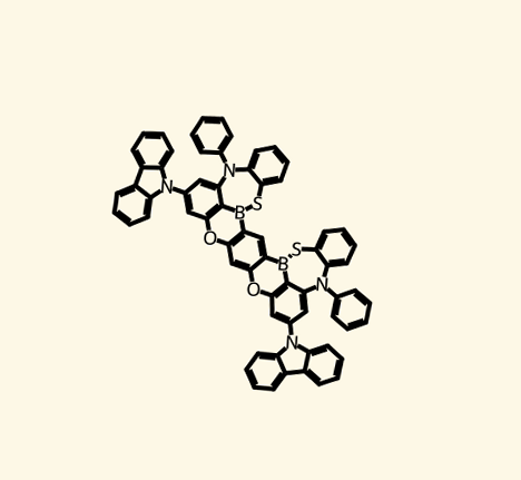 c1ccc(N2c3ccccc3SB3c4cc5c(cc4Oc4cc(-n6c7ccccc7c7ccccc76)cc2c43)Oc2cc(-n3c4ccccc4c4ccccc43)cc3c2B5Sc2ccccc2N3c2ccccc2)cc1